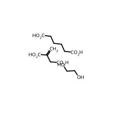 C=C(CC(=O)O)C(=O)O.O=C(O)CCCCC(=O)O.OCCO